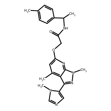 Cc1ccc(C(C)NC(=O)COc2cc(C)c3c(-c4cncn4C)nn(C)c3n2)cc1